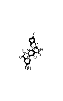 CCn1c(=O)c(C(=O)CN2CCC(O)CC2C(N)=O)c(N)n(Cc2ccc(F)cc2)c1=O